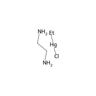 C[CH2][Hg][Cl].NCCN